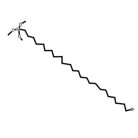 CO[Si](CCCCCCCCCCCCCCCCCCCCCCCCBr)(OC)OC